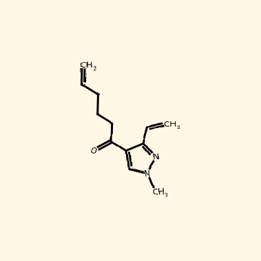 C=CCCCC(=O)c1cn(C)nc1C=C